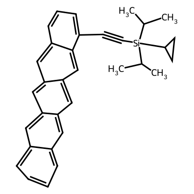 CC(C)[Si](C#Cc1cccc2cc3cc4cc5ccccc5cc4cc3cc12)(C(C)C)C1CC1